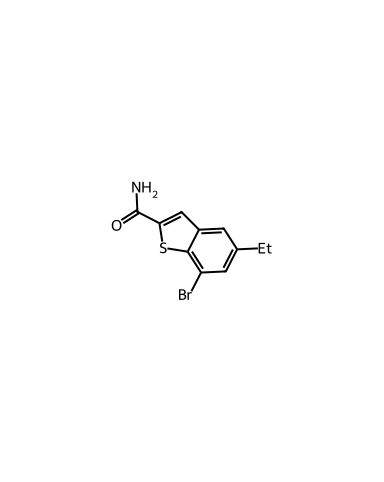 CCc1cc(Br)c2sc(C(N)=O)cc2c1